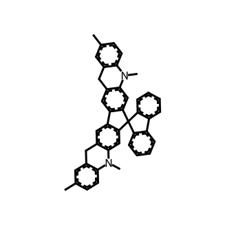 Cc1ccc2c(c1)Cc1cc3c(cc1N2C)C1(c2ccccc2-c2ccccc21)c1cc2c(cc1-3)Cc1cc(C)ccc1N2C